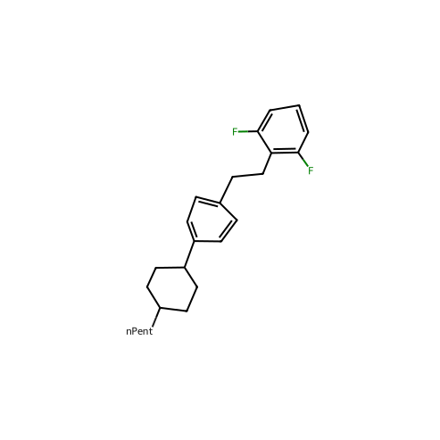 CCCCCC1CCC(c2ccc(CCc3c(F)cccc3F)cc2)CC1